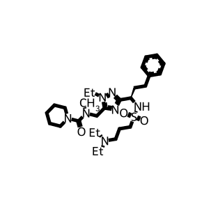 CCN(CC)CCCS(=O)(=O)N[C@H](CCc1ccccc1)c1nc(CN(C)C(=O)N2CCCCC2)n(CC)n1